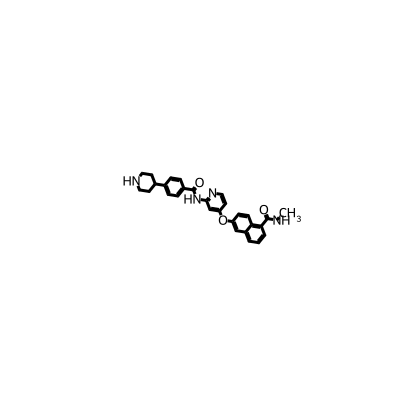 CNC(=O)c1cccc2cc(Oc3ccnc(NC(=O)c4ccc(C5CCNCC5)cc4)c3)ccc12